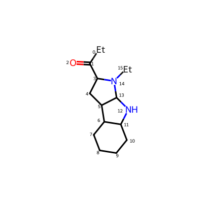 CCC(=O)C1CC2C3CCCCC3NC2N1CC